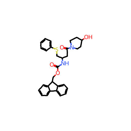 O=C(NC(CSc1ccccc1)CC(=O)N1CCC(O)CC1)OCC1c2ccccc2-c2ccccc21